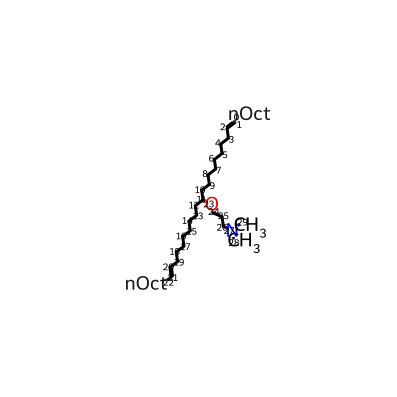 CCCCCCCCC=CCCCCCCCCC(CCCCCCCCC=CCCCCCCCC)OCCCN(C)C